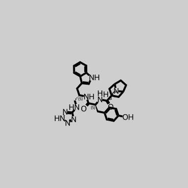 CN1C2CCC1CC(C(=O)N[C@@H](Cc1ccc(O)cc1)C(=O)N[C@H](CNc1nn[nH]n1)Cc1c[nH]c3ccccc13)C2